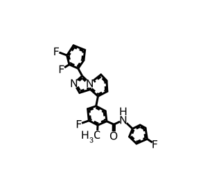 Cc1c(F)cc(-c2cccn3c(-c4cccc(F)c4F)ncc23)cc1C(=O)Nc1ccc(F)cc1